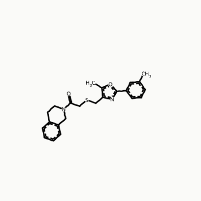 Cc1cccc(-c2nc(CSCC(=O)N3CCc4ccccc4C3)c(C)o2)c1